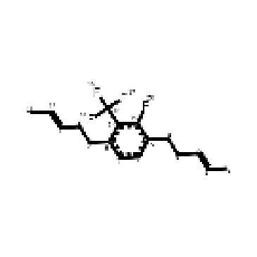 C/C=C/CCc1ccc(CC/C=C/C)c(C(F)(F)F)c1F